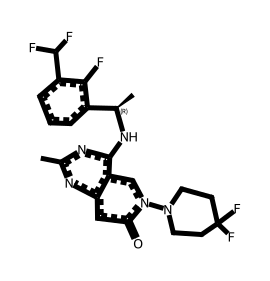 Cc1nc(N[C@H](C)c2cccc(C(F)F)c2F)c2cn(N3CCC(F)(F)CC3)c(=O)cc2n1